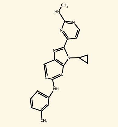 CNc1nccc(-c2nc3cnc(Nc4cccc(C)c4)nc3n2C2CC2)n1